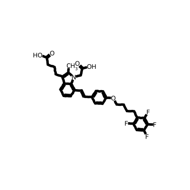 Cc1c(CCCC(=O)O)c2cccc(C=Cc3ccc(OCCCCc4c(F)cc(F)c(F)c4F)cc3)c2n1CC(=O)O